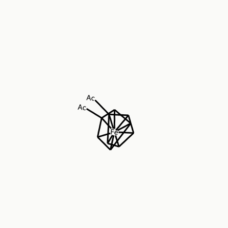 CC(=O)[C]12[CH]3[CH]4[CH]5[CH]1[Fe]45321678[CH]2[CH]1[CH]6[C]7(C(C)=O)[CH]28